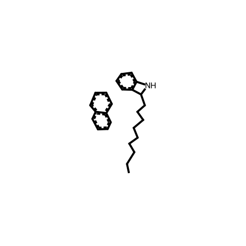 CCCCCCCCCC1Nc2ccccc21.c1ccc2ccccc2c1